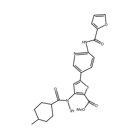 COC(=O)c1sc(-c2ccc(NC(=O)c3ccco3)nc2)cc1N(C(=O)C1CCC(C)CC1)C(C)C